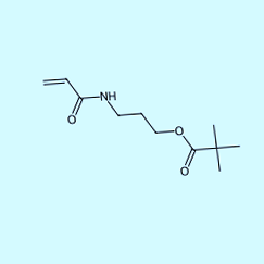 C=CC(=O)NCCCOC(=O)C(C)(C)C